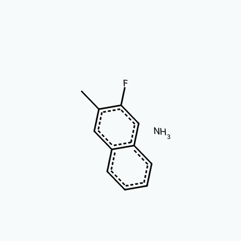 Cc1cc2ccccc2cc1F.N